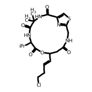 CC(C)C1NC(=O)C(C)(C)NC(=O)c2csc(n2)CNC(=O)CC(C=CCCCl)OC1=O